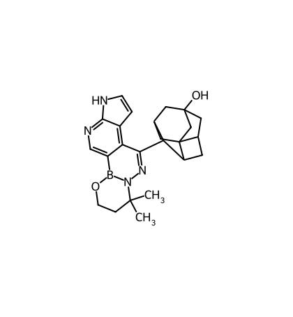 CC1(C)CCOB2c3cnc4[nH]ccc4c3C(C3C4CC5(O)CC6CC3C6(C4)C5)=NN21